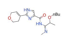 CCCCOC(C)/C(=N/C)NC(=O)c1c[nH]c(C2=CCOCC2)n1